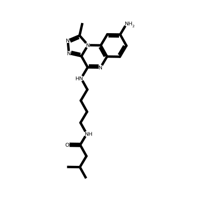 Cc1nnc2c(NCCCCNC(=O)CC(C)C)nc3ccc(N)cc3n12